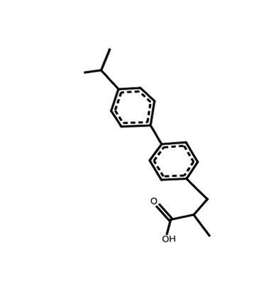 CC(Cc1ccc(-c2ccc(C(C)C)cc2)cc1)C(=O)O